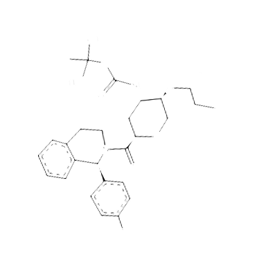 C[C@H](CO)O[C@H]1CO[C@@H](C(=O)N2CCc3ccccc3[C@@H]2c2ccc(F)cc2)C[C@@H]1NC(=O)OC(C)(C)C